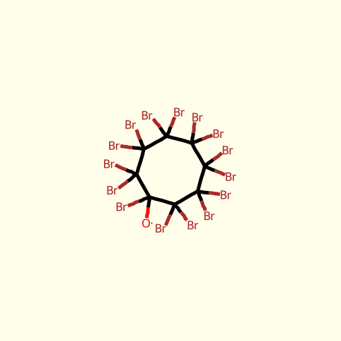 [O]C1(Br)C(Br)(Br)C(Br)(Br)C(Br)(Br)C(Br)(Br)C(Br)(Br)C(Br)(Br)C1(Br)Br